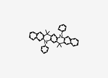 CC1(C)c2cc3c(cc2N(c2ccccc2)c2cc4ccccc4cc21)C(C)(C)c1cc2ccccc2cc1N3c1ccccc1